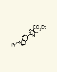 CCOC(=O)c1sc(-c2ccc3c(ccn3CC(C)C)c2)nc1C